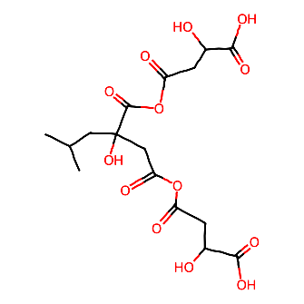 CC(C)CC(O)(CC(=O)OC(=O)CC(O)C(=O)O)C(=O)OC(=O)CC(O)C(=O)O